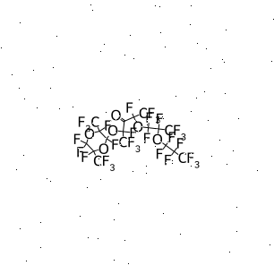 O=C(C(F)(OC(F)(F)C(F)(OC(F)(F)C(F)(F)C(F)(F)F)C(F)(F)F)C(F)(F)F)C(F)(OC1(F)OC(F)(C(F)(F)F)C(F)(F)OC1(F)C(F)(F)F)C(F)(F)F